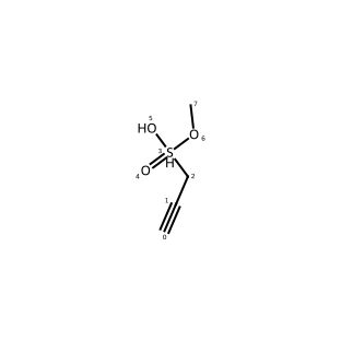 C#CC[SH](=O)(O)OC